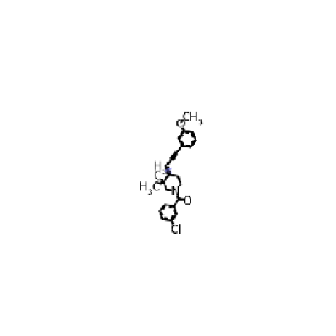 COc1cccc(C#C/C=C2\CCN(C(=O)c3cccc(Cl)c3)CC2(C)C)c1